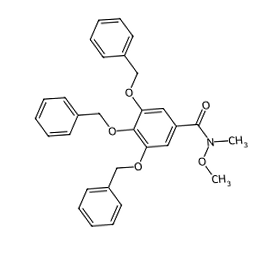 CON(C)C(=O)c1cc(OCc2ccccc2)c(OCc2ccccc2)c(OCc2ccccc2)c1